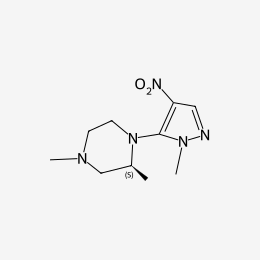 C[C@H]1CN(C)CCN1c1c([N+](=O)[O-])cnn1C